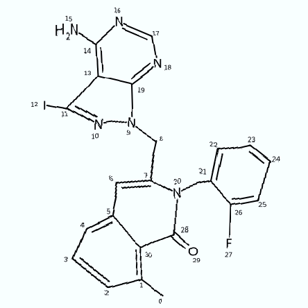 Cc1cccc2cc(Cn3nc(I)c4c(N)ncnc43)n(-c3ccccc3F)c(=O)c12